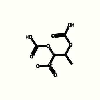 CC(OC(=O)O)C(OC(=O)O)[N+](=O)[O-]